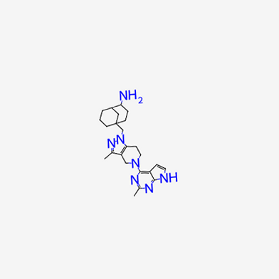 Cc1nc(N2CCc3c(c(C)nn3CC34CCCC(C3)C(N)CC4)C2)c2cc[nH]c2n1